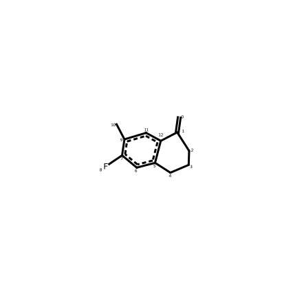 C=C1CCCc2cc(F)c(C)cc21